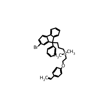 C=Cc1ccc(OCCS(C)(C)CCCC2(c3ccccc3)c3ccccc3-c3ccc(Br)cc32)cc1